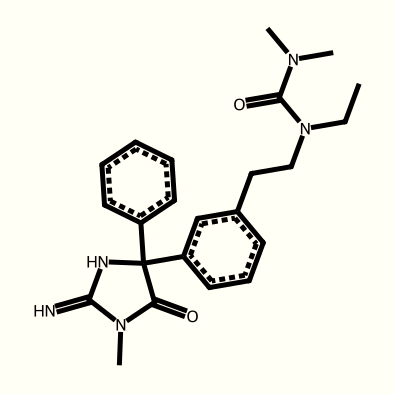 CCN(CCc1cccc(C2(c3ccccc3)NC(=N)N(C)C2=O)c1)C(=O)N(C)C